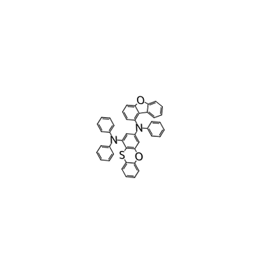 c1ccc(N(c2ccccc2)c2cc(N(c3ccccc3)c3cccc4oc5ccccc5c34)cc3c2Sc2ccccc2O3)cc1